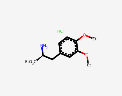 CCOC(=O)[C@@H](N)Cc1ccc(OCC)c(OCC)c1.Cl